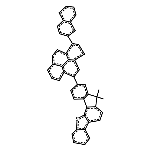 CC1(C)c2cc(-c3cc4ccc(-c5ccc6ccccc6c5)c5ccc6cccc3c6c45)ccc2-c2c1ccc1c2sc2ccccc21